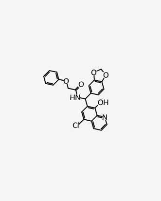 O=C(COc1ccccc1)NC(c1ccc2c(c1)OCO2)c1cc(Cl)c2cccnc2c1O